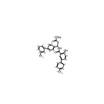 COC(=O)CC(NC(=O)c1cc(-c2ccc(C(F)(F)F)cc2)ccc1O)c1ccc(-c2cccc(C(F)(F)F)c2)cc1